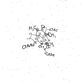 COCO[C@@H]1C[C@@](C)(COC(C)=O)C(=O)[C@H](C)C23CC[C@@H](C)[C@]1(C)C2[C@H](OC)CC3